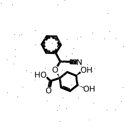 N#CC(O[C@@]1(C(=O)O)C=C[C@@H](O)[C@H](O)C1)c1ccccc1